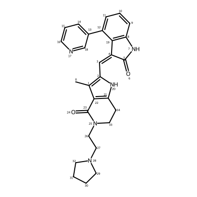 Cc1c(/C=C2\C(=O)Nc3cccc(-c4cccnc4)c32)[nH]c2c1C(=O)N(CCN1CCCC1)CC2